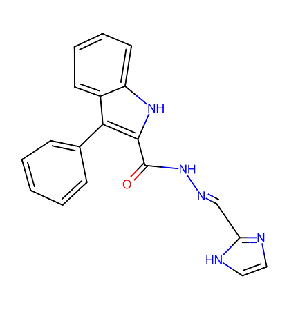 O=C(NN=Cc1ncc[nH]1)c1[nH]c2ccccc2c1-c1ccccc1